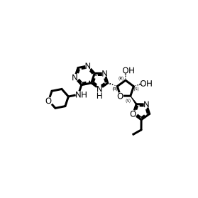 CCc1cnc([C@H]2O[C@H](c3nc4ncnc(NC5CCOCC5)c4[nH]3)[C@H](O)[C@@H]2O)o1